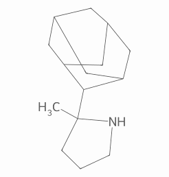 CC1(C2C3CC4CC(C3)CC2C4)CCCN1